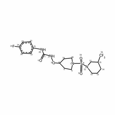 O=C(NOC1CCN(S(=O)(=O)N2CCCC(C(F)(F)F)C2)CC1)Nc1ccc(F)cc1